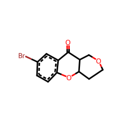 O=C1c2cc(Br)ccc2OC2CCOCC12